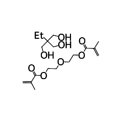 C=C(C)C(=O)OCCOCCOC(=O)C(=C)C.CCC(CO)(CO)CO